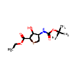 CCOC(=O)C1SCC(NC(=O)OC(C)(C)C)C1O